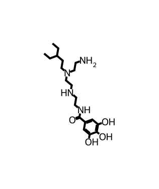 CCC(CC)CCN(CCN)CCNCCNC(=O)c1cc(O)c(O)c(O)c1